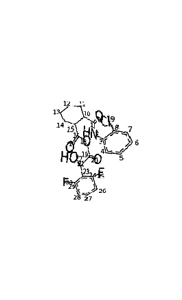 O=C(Nc1ccccc1Cl)C1CCCCC1C(=O)OC(=O)[C@H](O)c1c(F)cccc1F